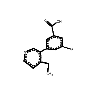 CCc1ccncc1-c1cc(F)cc(C(=O)O)c1